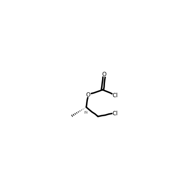 C[C@@H](CCl)OC(=O)Cl